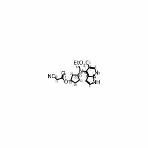 CCOC(=O)c1cnc2[nH]ccc2c1N(C)[C@H]1CC[C@H](OC(=O)CC#N)C1